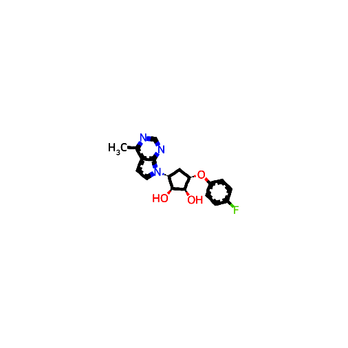 Cc1ncnc2c1ccn2[C@@H]1C[C@H](Oc2ccc(F)cc2)[C@@H](O)[C@H]1O